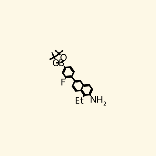 CCc1c(N)ccc2cc(-c3ccc(B4OC(C)(C)C(C)(C)O4)cc3F)ccc12